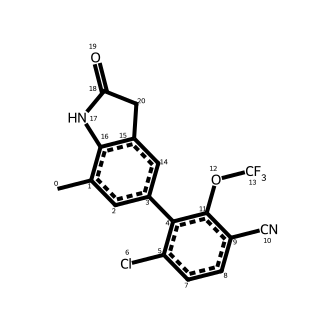 Cc1cc(-c2c(Cl)ccc(C#N)c2OC(F)(F)F)cc2c1NC(=O)C2